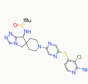 CC(C)(C)[S+]([O-])N[C@@H]1c2nncn2CC12CCN(c1cnc(Sc3ccnc(N)c3Cl)cn1)CC2